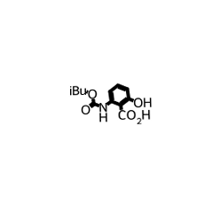 CCC(C)OC(=O)Nc1cccc(O)c1C(=O)O